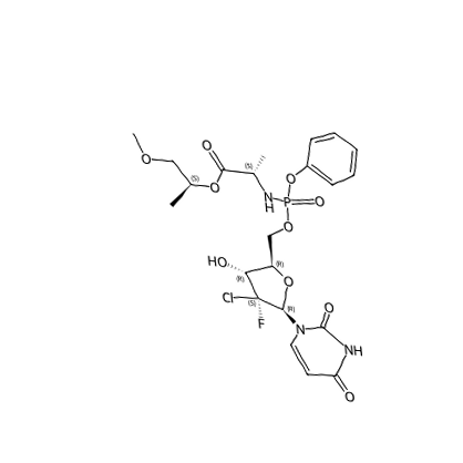 COC[C@H](C)OC(=O)[C@H](C)NP(=O)(OC[C@H]1O[C@@H](n2ccc(=O)[nH]c2=O)[C@@](F)(Cl)[C@@H]1O)Oc1ccccc1